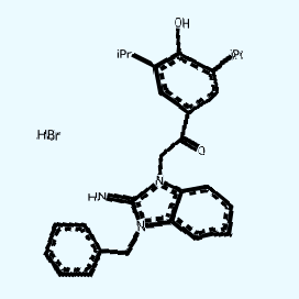 Br.CC(C)c1cc(C(=O)Cn2c(=N)n(Cc3ccccc3)c3ccccc32)cc(C(C)C)c1O